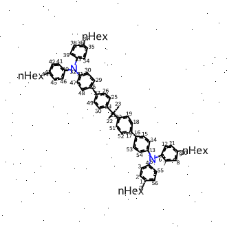 CCCCCCc1ccc(N(c2ccc(CCCCCC)cc2)c2ccc(-c3ccc(C(C)(C)c4ccc(-c5ccc(N(c6ccc(CCCCCC)cc6)c6ccc(CCCCCC)cc6)cc5)cc4)cc3)cc2)cc1